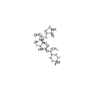 CC(C)CC(NC(=O)OC(C)C1CCC(F)(F)CC1)C(=O)NC(C=O)CC1CCNC1=O